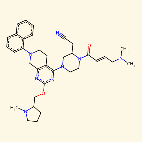 CN(C)C/C=C/C(=O)N1CCN(c2nc(OCC3CCCN3C)nc3c2CCN(c2cccc4ccccc24)C3)CC1CC#N